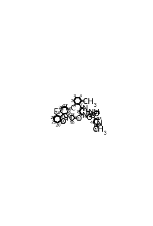 Cc1cccc(C)c1-c1cc(OC2CN(C(=O)C3(c4ccccc4F)CCCCC3)C2)nc(NS(=O)(=O)c2cnn(C)c2)n1